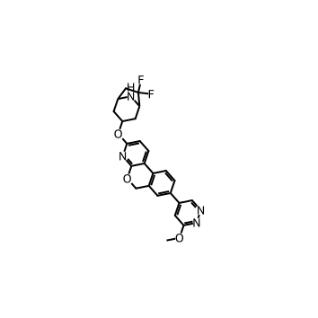 COc1cc(-c2ccc3c(c2)COc2nc(OC4CC5CC(F)(F)C(C4)N5)ccc2-3)cnn1